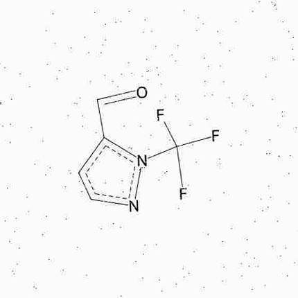 O=Cc1ccnn1C(F)(F)F